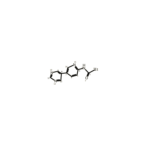 CCC(=O)Nc1ccc(-c2cncnc2)cn1